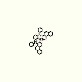 O=P12c3ccc4c(ccc5ccccc54)c3N(c3ccccc3)c3cccc(c31)N(c1ccccc1)c1c2ccc2c1ccc1ccccc12